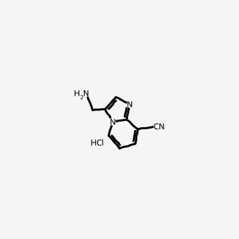 Cl.N#Cc1cccn2c(CN)cnc12